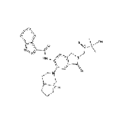 CC(C)(O)[C@H](F)CN1Cc2cc(NC(=O)c3cnn4cccnc34)c(N3CCN4CCC[C@@H]4C3)cc2C1=O